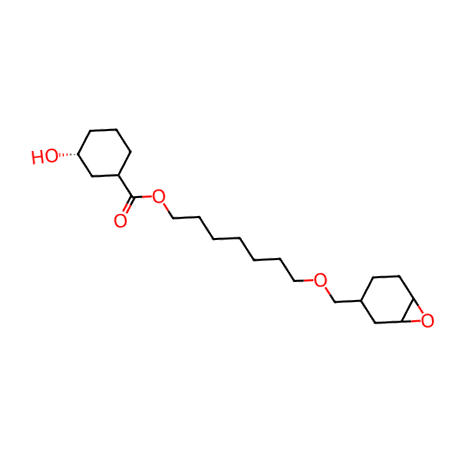 O=C(OCCCCCCCOCC1CCC2OC2C1)C1CCC[C@@H](O)C1